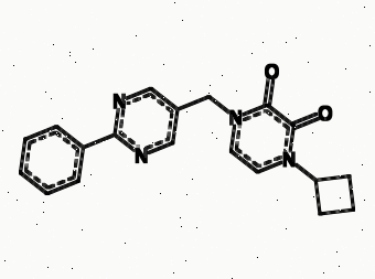 O=c1c(=O)n(C2CCC2)ccn1Cc1cnc(-c2ccccc2)nc1